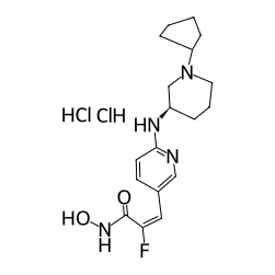 Cl.Cl.O=C(NO)/C(F)=C\c1ccc(N[C@@H]2CCCN(C3CCCC3)C2)nc1